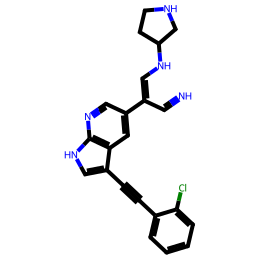 N=C/C(=C\NC1CCNC1)c1cnc2[nH]cc(C#Cc3ccccc3Cl)c2c1